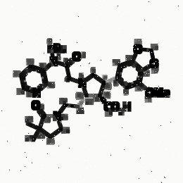 CCCCN(C(=O)CN1C[C@H](c2cc(OC)c3c(c2)OCO3)[C@@H](C(=O)O)[C@@H]1CCN1CCC(C)(C)C1=O)c1cccnc1